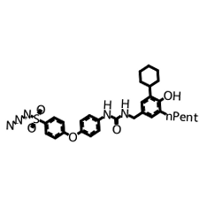 CCCCCc1cc(CNC(=O)Nc2ccc(Oc3ccc(S(=O)(=O)N=[N+]=[N-])cc3)cc2)cc(C2CCCCC2)c1O